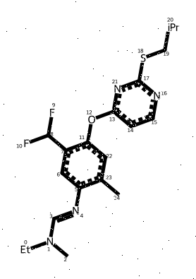 CCN(C)C=Nc1cc(C(F)F)c(Oc2ccnc(SCC(C)C)n2)cc1C